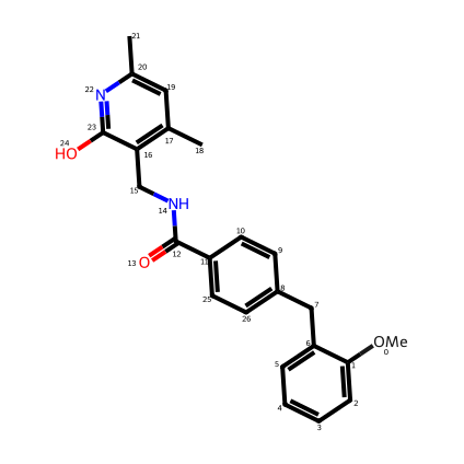 COc1ccccc1Cc1ccc(C(=O)NCc2c(C)cc(C)nc2O)cc1